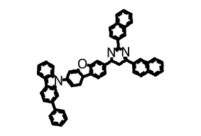 C1=C2Oc3cc(C4CC(c5ccc6ccccc6c5)=NC(c5ccc6ccccc6c5)=N4)ccc3C2CC=C1n1c2ccccc2c2ccc(-c3ccccc3)cc21